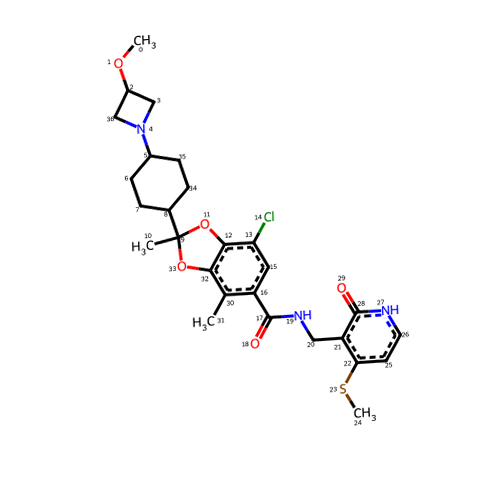 COC1CN(C2CCC(C3(C)Oc4c(Cl)cc(C(=O)NCc5c(SC)cc[nH]c5=O)c(C)c4O3)CC2)C1